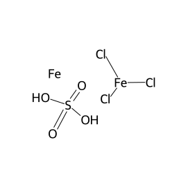 O=S(=O)(O)O.[Cl][Fe]([Cl])[Cl].[Fe]